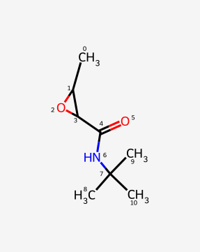 CC1OC1C(=O)NC(C)(C)C